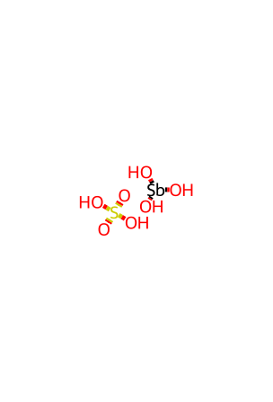 O=S(=O)(O)O.[OH][Sb]([OH])[OH]